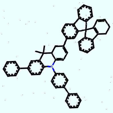 CC1(C)c2cc(-c3ccccc3)ccc2N(c2ccc(-c3ccccc3)cc2)C2=CC=C(c3ccc4c(c3)C3(C5=C(CCC=C5)c5ccccc53)c3ccccc3-4)CC21